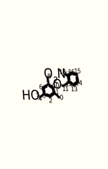 Cc1cc(CO)cc(C)c1OCc1ccccc1[N+](=O)[O-]